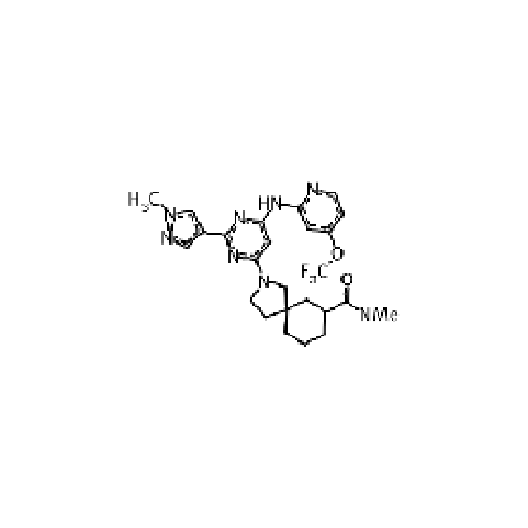 CNC(=O)C1CCCC2(CCN(c3cc(Nc4cc(OC(F)(F)F)ccn4)nc(-c4cnn(C)c4)n3)C2)C1